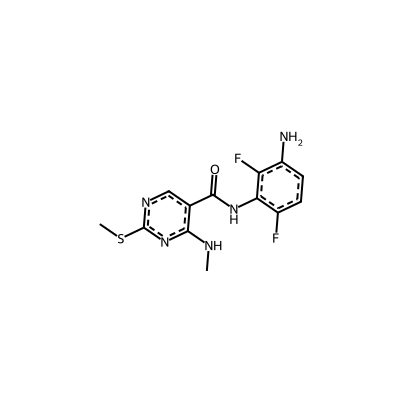 CNc1nc(SC)ncc1C(=O)Nc1c(F)ccc(N)c1F